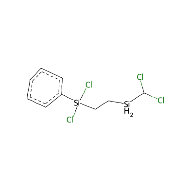 ClC(Cl)[SiH2]CC[Si](Cl)(Cl)c1ccccc1